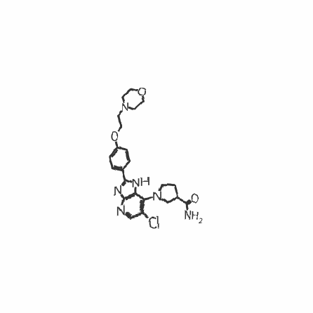 NC(=O)C1CCN(c2c(Cl)cnc3nc(-c4ccc(OCCN5CCOCC5)cc4)[nH]c23)C1